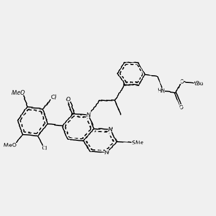 COc1cc(OC)c(Cl)c(-c2cc3cnc(SC)nc3n(CC(C)c3cccc(CNC(=O)OC(C)(C)C)c3)c2=O)c1Cl